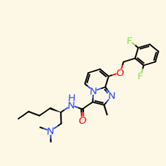 CCCC[C@H](CN(C)C)NC(=O)c1c(C)nc2c(OCc3c(F)cccc3F)cccn12